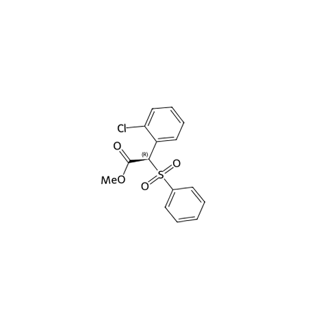 COC(=O)[C@@H](c1ccccc1Cl)S(=O)(=O)c1ccccc1